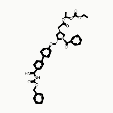 CCOC(=O)OC(C)OC(=O)C[C@@H]1C[C@@H](COc2ccc(-c3ccc(C(=N)NC(=O)OCc4ccccc4)cc3)cc2)N(C(=O)c2ccccc2)C1